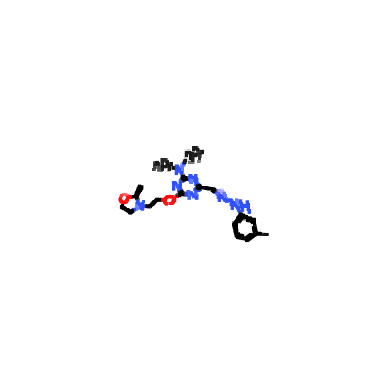 C=C1OCCN1CCOc1nc(/C=N/Nc2cccc(C)c2)nc(N(CCC)CCC)n1